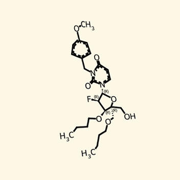 CCCCOC[C@@]1(CO)O[C@@H](n2ccc(=O)n(Cc3ccc(OC)cc3)c2=O)[C@H](F)[C@@H]1OCCCC